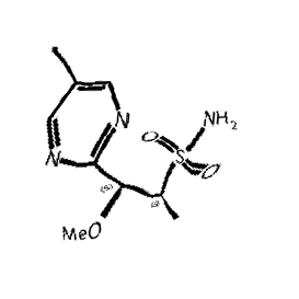 CO[C@@H](c1ncc(C)cn1)[C@H](C)S(N)(=O)=O